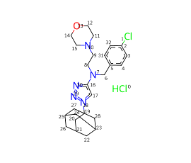 Cl.Clc1ccc(CN(CCN2CCOCC2)c2cn(C34CC5CC(CC(C5)C3)C4)nn2)cc1